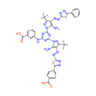 CC(C)(C)c1nn(-c2nc(Nc3cccc(C(=O)O)c3)nc(-n3nc(C(C)(C)C)c(N=Nc4nnc(-c5ccc(C(=O)O)cc5)s4)c3N)n2)c(N)c1N=Nc1nnc(-c2ccccc2)s1